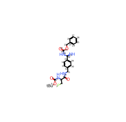 CC(C)(C)OC(=O)NC(CF)C(=O)NCc1ccc(C(=N)NC(=O)OCc2ccccc2)cc1